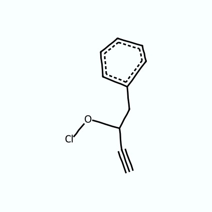 C#CC(Cc1ccccc1)OCl